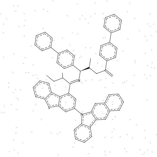 C=C(CC(C)[C@@H](/N=C(/c1cc(-n2c3ccccc3c3cc4ccccc4cc32)cc2sc3ccccc3c12)C(C)CC)c1ccc(-c2ccccc2)cc1)c1ccc(-c2ccccc2)cc1